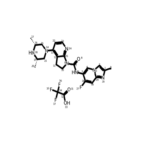 Cc1cn2cc(NC(=O)N3CCc4c(N5C[C@@H](C)N[C@@H](C)C5)ccnc43)c(F)cc2n1.O=C(O)C(F)(F)F